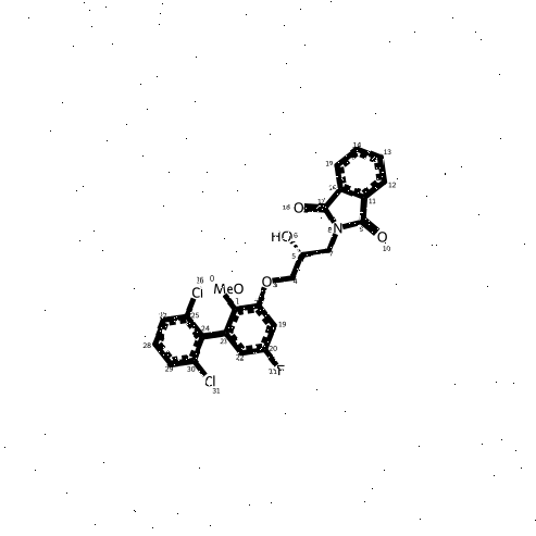 COc1c(OC[C@H](O)CN2C(=O)c3ccccc3C2=O)cc(F)cc1-c1c(Cl)cccc1Cl